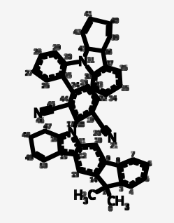 CC1(C)c2ccccc2-c2cc3c(cc21)c1c(n3-c2c(C#N)ccc(-c3ccccc3N3c4ccccc4C4C=CC=CC43)c2C#N)CCC=C1